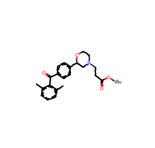 Cc1cccc(C)c1C(=O)c1ccc(C2CN(CCC(=O)OC(C)(C)C)CCO2)cc1